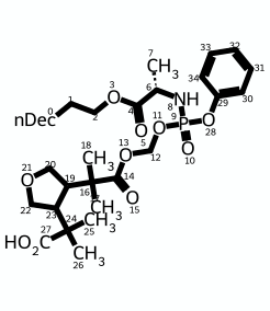 CCCCCCCCCCCCOC(=O)[C@H](C)NP(=O)(OCOC(=O)C(C)(C)C1COCC1C(C)(C)C(=O)O)Oc1ccccc1